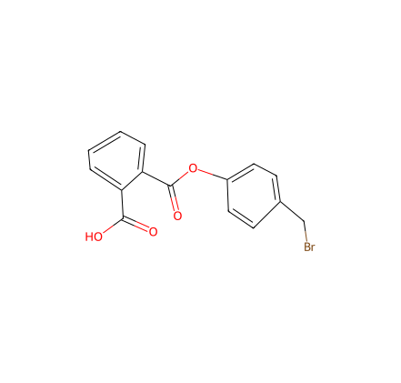 O=C(O)c1ccccc1C(=O)Oc1ccc(CBr)cc1